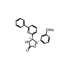 COc1cccc([C@@H]2OC(=O)N[C@H]2c2cccc(-c3ccccc3)n2)c1